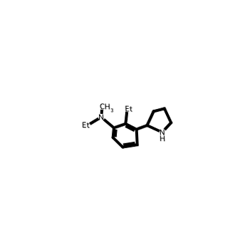 CCc1c(C2CCCN2)cccc1N(C)CC